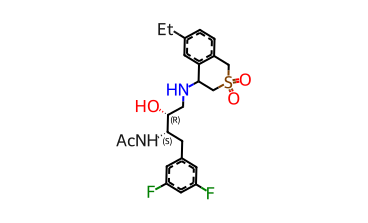 CCc1ccc2c(c1)C(NC[C@@H](O)[C@H](Cc1cc(F)cc(F)c1)NC(C)=O)CS(=O)(=O)C2